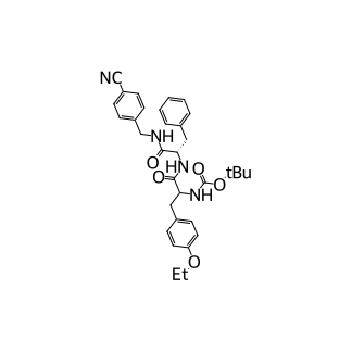 CCOc1ccc(CC(NC(=O)OC(C)(C)C)C(=O)N[C@@H](Cc2ccccc2)C(=O)NCc2ccc(C#N)cc2)cc1